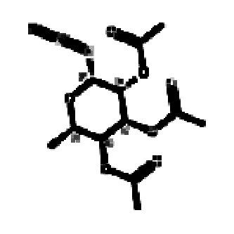 CC(=O)O[C@H]1[C@@H](OC(C)=O)[C@@H](C)O[C@H](N=[N+]=[N-])[C@@H]1OC(C)=O